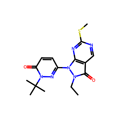 CCn1c(=O)c2cnc(SC)nc2n1-c1ccc(=O)n(C(C)(C)C)n1